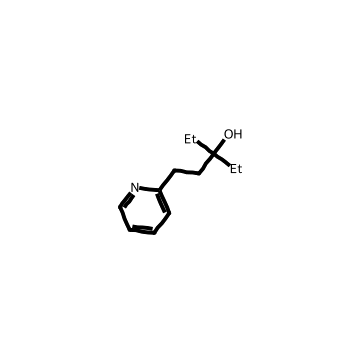 CCC(O)(CC)CCc1ccccn1